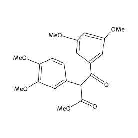 COC(=O)C(C(=O)c1cc(OC)cc(OC)c1)c1ccc(OC)c(OC)c1